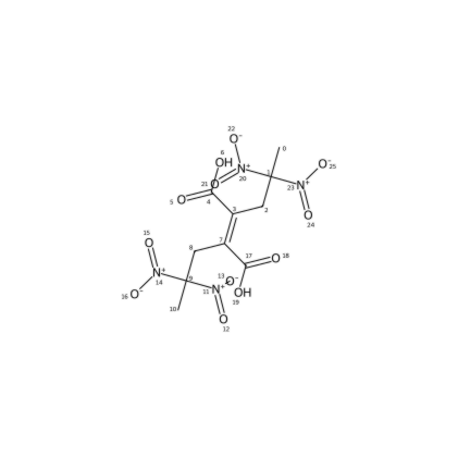 CC(C/C(C(=O)O)=C(/CC(C)([N+](=O)[O-])[N+](=O)[O-])C(=O)O)([N+](=O)[O-])[N+](=O)[O-]